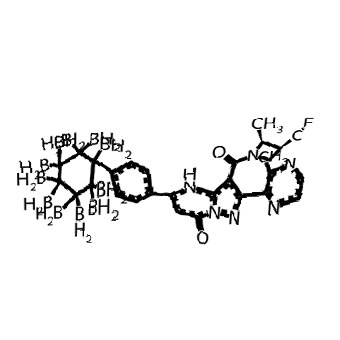 BC1(B)C(B)(B)C(B)(B)C(B)(c2ccc(-c3cc(=O)n4nc(-c5nccnc5C)c(C(=O)N5C[C@H](CF)[C@@H]5C)c4[nH]3)cc2)C(B)(B)C1(B)B